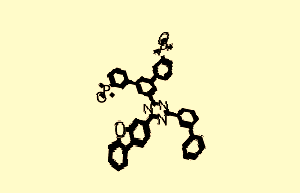 CP(C)(=O)c1cccc(-c2cc(-c3cccc(P(C)(C)=O)c3)cc(-c3nc(-c4ccc5c(c4)oc4ccccc45)nc(C4C=C(c5ccccc5)C=CC4)n3)c2)c1